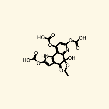 CCOC1(O)C(=O)c2cc(OC(=O)O)[nH]c2-c2c(OC(=O)O)cc(OC(=O)O)nc21